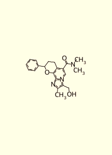 Cc1nc2c3c(c(C(=O)N(C)C)cn2c1CO)CCC(c1ccccc1)O3